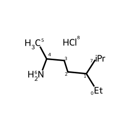 CCC(CCC(C)N)C(C)C.Cl